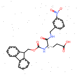 O=C(O)CC[C@H](NC(=O)OCC1c2ccccc2-c2ccccc21)C(=O)NCc1cccc([N+](=O)[O-])c1